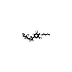 CCCCCOc1c(Cl)cc(-c2csc(NC(=O)CBr)n2)cc1Cl